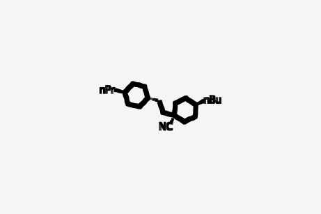 CCCC[C@H]1CC[C@@](C#N)(CC[C@H]2CC[C@H](CCC)CC2)CC1